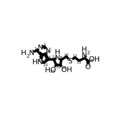 Nc1ncnc2c(C3NC(CSCCC(N)C(=O)O)C(O)C3O)c[nH]c12